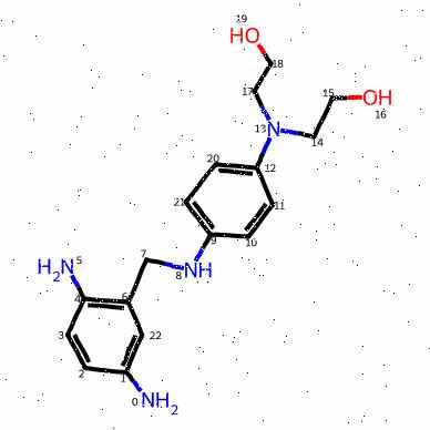 Nc1ccc(N)c(CNc2ccc(N(CCO)CCO)cc2)c1